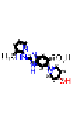 Cc1cccnc1Nc1nc2cc(C(=O)O)c(N3CCC(O)CC3)cc2[nH]1